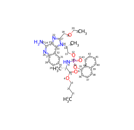 CCCCOC(=O)[C@H](C)NP(=O)(OC[C@@H](C)n1c(COCC)nc2c(N)nc3ccccc3c21)Oc1cccc2ccccc12